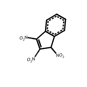 O=[N+]([O-])C1=C([N+](=O)[O-])C([N+](=O)[O-])c2ccccc21